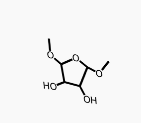 COC1OC(OC)C(O)C1O